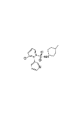 CC1CCC(NS(=O)(=O)c2cccc(Cl)c2-c2cccnc2)CC1